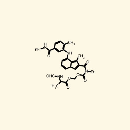 CCCNC(=O)c1ccc(C)c(NC2=CC=CC3C=C(C(=O)N(CC)C(=O)OCOC(=O)C(C)NC=O)C(C)=C23)c1